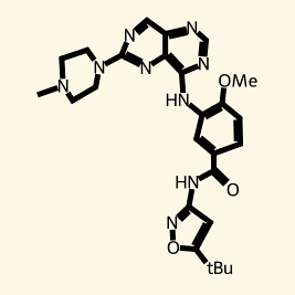 COc1ccc(C(=O)Nc2cc(C(C)(C)C)on2)cc1Nc1ncnc2cnc(N3CCN(C)CC3)nc12